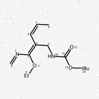 C=N/C(OCC)=C(\C=C/C)CNC(=O)OC(C)(C)C